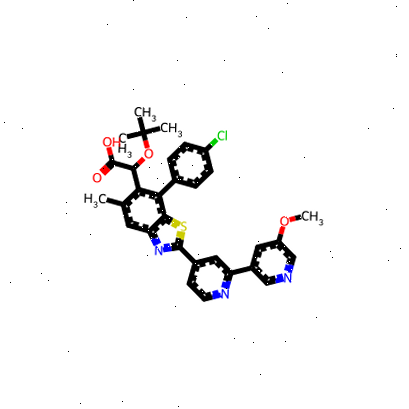 COc1cncc(-c2cc(-c3nc4cc(C)c(C(OC(C)(C)C)C(=O)O)c(-c5ccc(Cl)cc5)c4s3)ccn2)c1